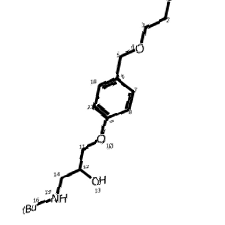 CC(C)OCCOCc1ccc(OCC(O)CNC(C)(C)C)cc1